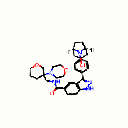 O=C(NCC1(N2CCOCC2)CCCOC1)c1ccc2[nH]nc(-c3ccc(N4[C@@H]5CC[C@H]4C[C@@H](O)C5)cc3)c2c1